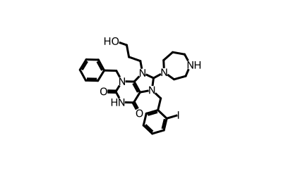 O=c1[nH]c(=O)n(Cc2ccccc2)c2c1N(Cc1ccccc1I)C(N1CCCNCC1)N2CCCO